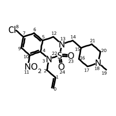 C=CCN1c2c(cc(Cl)cc2[N+](=O)[O-])CN(CC2CCN(C)CC2)S1(=O)=O